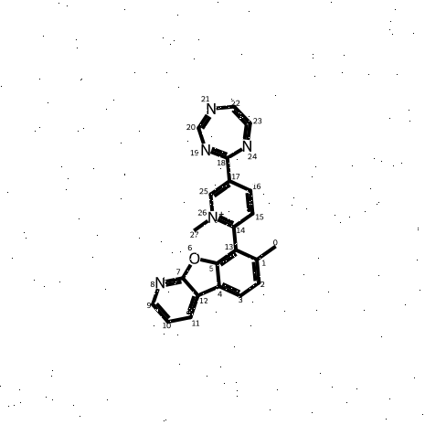 Cc1ccc2c(oc3ncccc32)c1-c1ccc(C2=NC=NC=C=N2)c[n+]1C